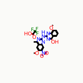 COc1cc2c(C)nc(Nc3nc(O)c4cccc(OC)c4n3)nc2cc1[N+](=O)[O-].O=C(O)C(F)(F)F